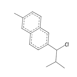 Cc1ccc2cc(C(Cl)C(C)C)ccc2c1